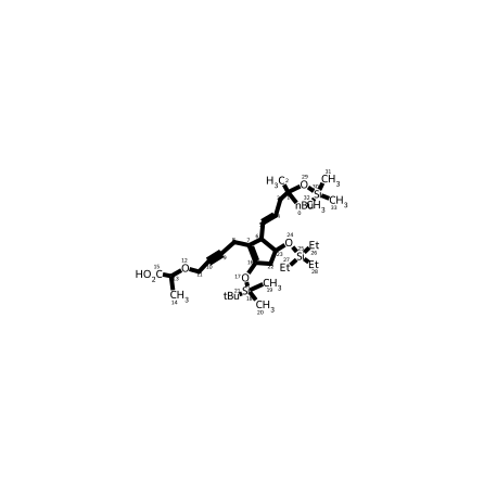 CCCCC(C)(C/C=C/C1C(CC#CCOC(C)C(=O)O)=C(O[Si](C)(C)C(C)(C)C)CC1O[Si](CC)(CC)CC)O[Si](C)(C)C